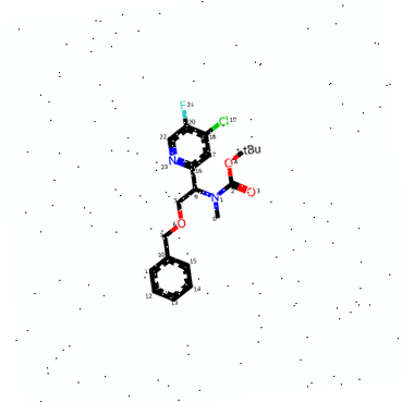 CN(C(=O)OC(C)(C)C)C(COCc1ccccc1)c1cc(Cl)c(F)cn1